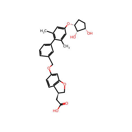 Cc1cc(O[C@@H]2CC[C@H](O)[C@@H]2O)cc(C)c1-c1cccc(COc2ccc3c(c2)OC[C@H]3CC(=O)O)c1